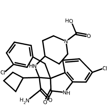 NC(=O)C(NC1CCN(C(=O)O)CC1)(C1CCC1)C1(Cc2cccc(Cl)c2)C(=O)Nc2cc(Cl)ccc21